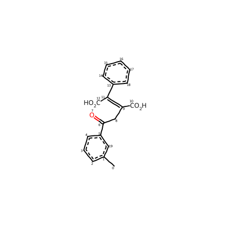 Cc1cccc(C(=O)CC(C(=O)O)=C(C(=O)O)c2ccccc2)c1